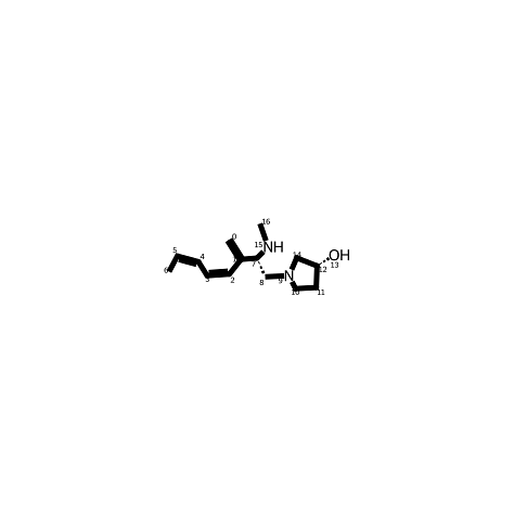 C=C(/C=C\C=C/C)[C@@H](CN1CC[C@@H](O)C1)NC